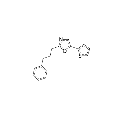 c1ccc(CCCc2ncc(-c3cccs3)o2)cc1